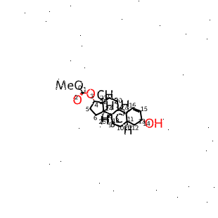 COC(=O)O[C@H]1CC[C@H]2[C@@H]3CC[C@H]4C[C@@H](O)C=C[C@]4(C)[C@H]3CC[C@]12C